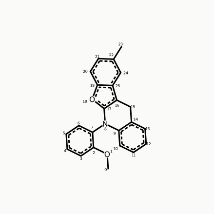 COc1ccccc1N1c2ccccc2Cc2c1oc1ccc(C)cc21